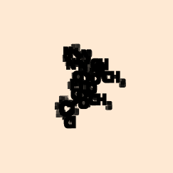 C#C[C@]1(OC(C)=O)[C@H](n2cnc3cncnc32)O[C@](F)(COC(=O)c2cccc(Cl)c2)[C@H]1OC(C)=O